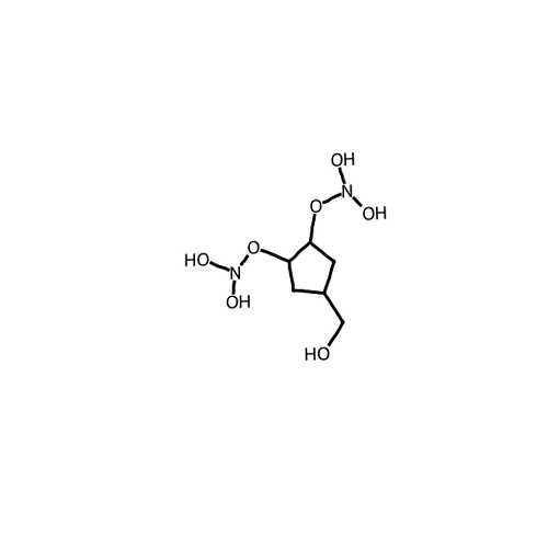 OCC1CC(ON(O)O)C(ON(O)O)C1